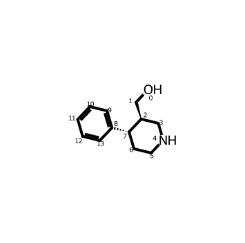 OC[C@H]1CNCC[C@@H]1c1ccccc1